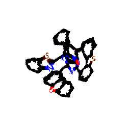 c1ccc(-c2nc(-c3cccc4oc5ccccc5c34)nc(-c3cccc4sc5cccc(-c6ccc(-c7nc8ccccc8s7)cc6)c5c34)n2)cc1